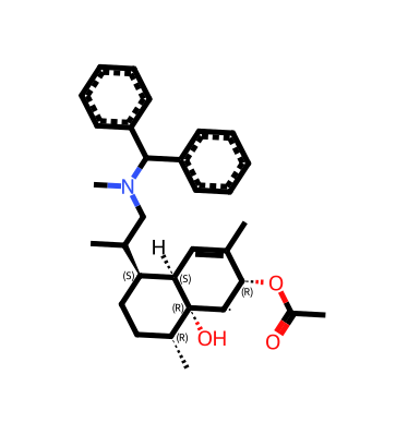 CC(=O)O[C@@H]1[CH][C@@]2(O)[C@H](C)CC[C@@H](C(C)CN(C)C(c3ccccc3)c3ccccc3)[C@H]2C=C1C